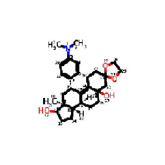 CN(C)c1ccc([C@H]2C[C@]3(C)[C@H](O)CC[C@H]3[C@@H]3CC[C@@]4(O)CC5(CCC4=C32)OCCO5)cc1